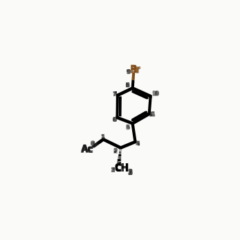 CC(=O)C[C@@H](C)Cc1ccc(Br)cc1